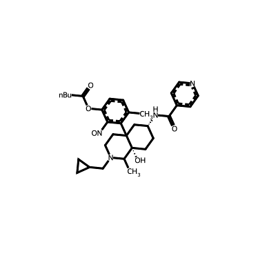 CCCCC(=O)Oc1ccc(C)c(C23CCN(CC4CC4)C(C)[C@]2(O)CC[C@@H](NC(=O)c2ccncc2)C3)c1N=O